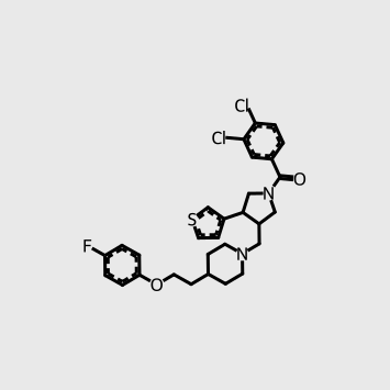 O=C(c1ccc(Cl)c(Cl)c1)N1CC(CN2CCC(CCOc3ccc(F)cc3)CC2)C(c2ccsc2)C1